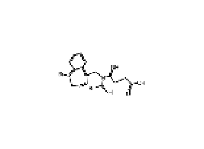 N=C(Br)N(CC1=c2ccccc2=C(Br)CC=C1)C(=N)CCC(=O)O